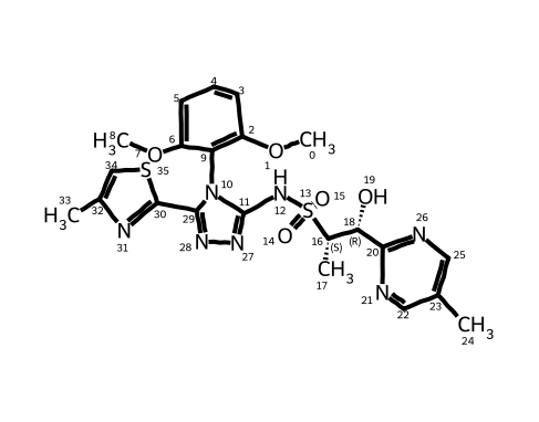 COc1cccc(OC)c1-n1c(NS(=O)(=O)[C@@H](C)[C@H](O)c2ncc(C)cn2)nnc1-c1nc(C)cs1